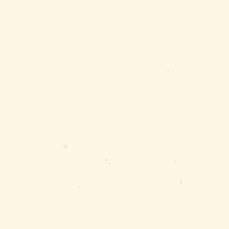 COC(c1ccc(Cl)cc1)C1CCN(C(=O)O)CC1